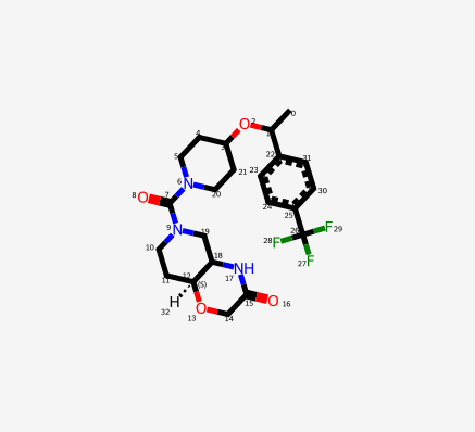 CC(OC1CCN(C(=O)N2CC[C@@H]3OCC(=O)NC3C2)CC1)c1ccc(C(F)(F)F)cc1